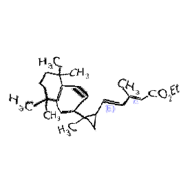 CCOC(=O)/C=C(C)/C=C/C1CC1(C)c1ccc2c(c1)C(C)(C)CCC2(C)C